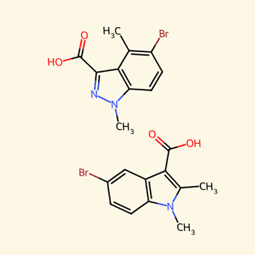 Cc1c(Br)ccc2c1c(C(=O)O)nn2C.Cc1c(C(=O)O)c2cc(Br)ccc2n1C